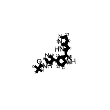 CC(C)(C)C(=O)Nc1cncc(-c2ccc3[nH]nc(-c4cc5cccnc5[nH]4)c3c2)c1